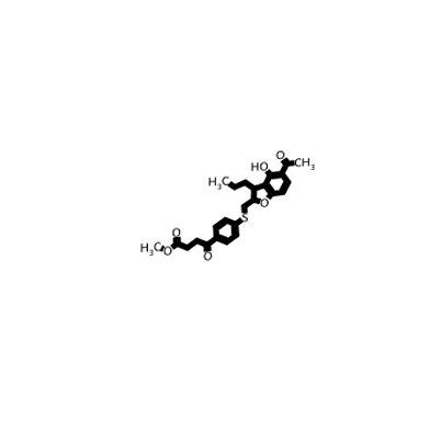 CCCC1c2c(ccc(C(C)=O)c2O)OC1CSc1ccc(C(=O)CCC(=O)OC)cc1